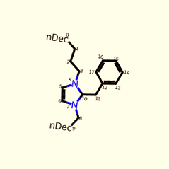 CCCCCCCCCCCCCN1C=CN(CCCCCCCCCCC)C1Cc1ccccc1